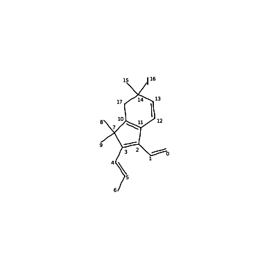 C=CC1=C(/C=C/C)C(C)(C)C2=C1C=CC(C)(I)C2